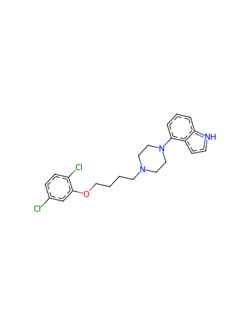 Clc1ccc(Cl)c(OCCCCN2CCN(c3cccc4[nH]ccc34)CC2)c1